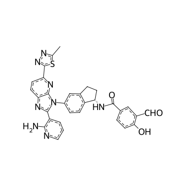 Cc1nnc(-c2ccc3nc(-c4cccnc4N)n(-c4ccc5c(c4)CC[C@@H]5NC(=O)c4ccc(O)c(C=O)c4)c3n2)s1